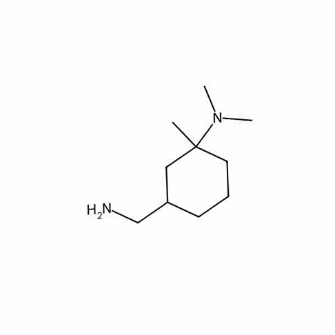 CN(C)C1(C)CCCC(CN)C1